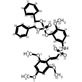 COc1cc(OC)c(/C=C/S(=O)(=O)Nc2ccc(OC)c(OP(=O)(OCc3ccccc3)OCc3ccccc3)c2)c(OC)c1